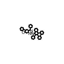 c1ccc(-c2nc(-n3c4ccccc4c4c5c6ccccc6c6ccccc6c5c5ccccc5c43)nc3cc4oc5ccccc5c4cc23)cc1